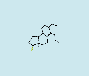 CCCC1C(CC)CCC2C1CCC1(C)C(=S)CCC21